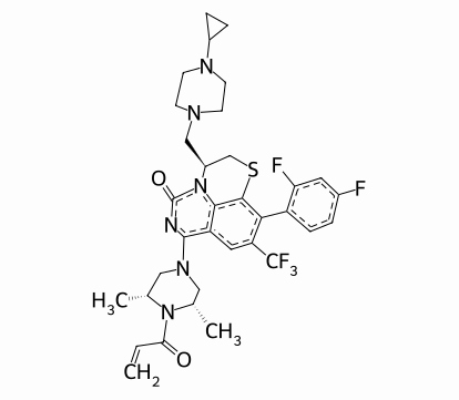 C=CC(=O)N1[C@H](C)CN(c2nc(=O)n3c4c(c(-c5ccc(F)cc5F)c(C(F)(F)F)cc24)SC[C@@H]3CN2CCN(C3CC3)CC2)C[C@@H]1C